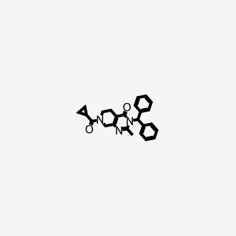 Cc1nc2c(c(=O)n1C(c1ccccc1)c1ccccc1)CCN(C(=O)C1CC1)C2